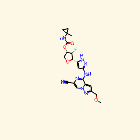 COCc1cc2c(Nc3cc([C@@H]4OC[C@H](OC(=O)NC5(C)CC5)[C@H]4F)[nH]n3)nc(C#N)cn2n1